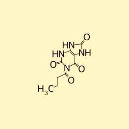 CCCC(=O)n1c(=O)[nH]c2[nH]c(=O)[nH]c2c1=O